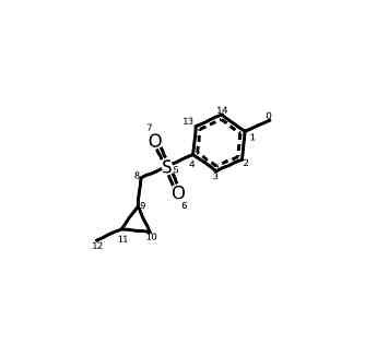 Cc1ccc(S(=O)(=O)CC2CC2C)cc1